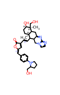 C[C@]12CC[C@@H](O)[C@@](C)(CO)C1CC1=Nc3nccn3CC1C2/C=C/C1=CC(=C\c2ccc(N3CCCC3CO)cc2)/OC1=O